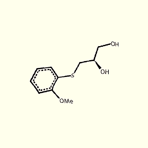 COc1ccccc1SC[C@H](O)CO